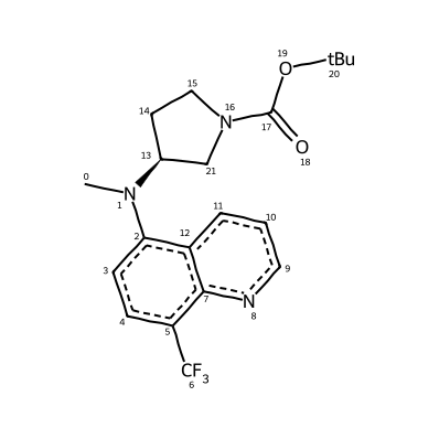 CN(c1ccc(C(F)(F)F)c2ncccc12)[C@H]1CCN(C(=O)OC(C)(C)C)C1